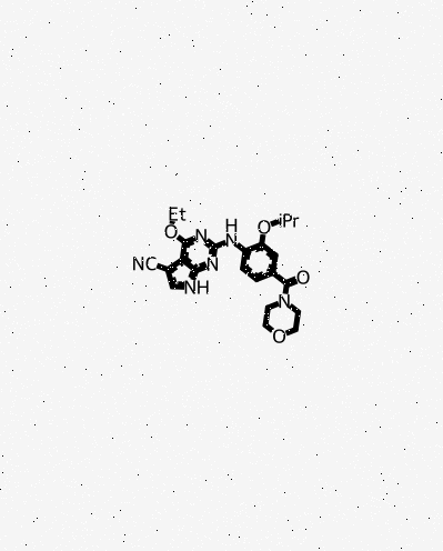 CCOc1nc(Nc2ccc(C(=O)N3CCOCC3)cc2OC(C)C)nc2[nH]cc(C#N)c12